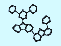 c1ccc(-c2nc(-c3ccccc3)nc(-n3c4ccccc4c4cc(-c5cccc6c5sc5c(-c7ccccc7)cccc56)ccc43)n2)cc1